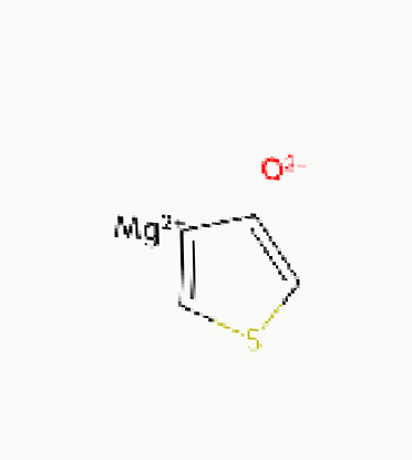 [Mg+2].[O-2].c1ccsc1